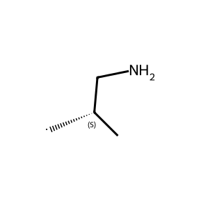 [CH2][C@@H](C)CN